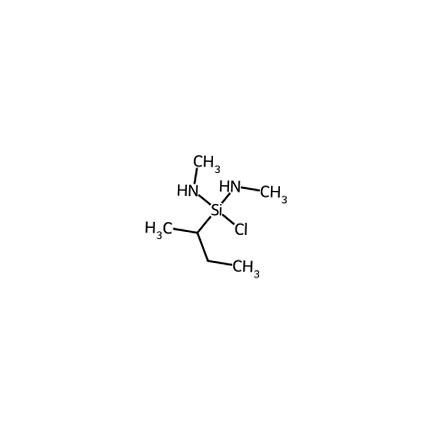 CCC(C)[Si](Cl)(NC)NC